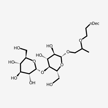 CCCCCCCCCCCCOC(C)CO[C@@H]1O[C@H](CO)[C@@H](O[C@H]2O[C@H](CO)[C@@H](O)[C@H](O)[C@H]2O)[C@H](O)[C@H]1O